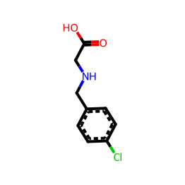 O=C(O)CNCc1ccc(Cl)cc1